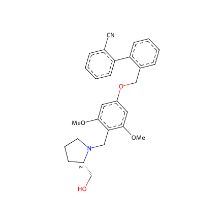 COc1cc(OCc2ccccc2-c2ccccc2C#N)cc(OC)c1CN1CCC[C@H]1CO